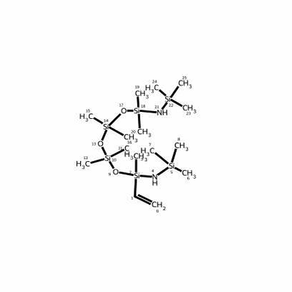 C=C[Si](C)(N[Si](C)(C)C)O[Si](C)(C)O[Si](C)(C)O[Si](C)(C)N[Si](C)(C)C